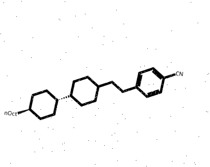 CCCCCCCC[C@H]1CC[C@H](C2CCC(CCc3ccc(C#N)cc3)CC2)CC1